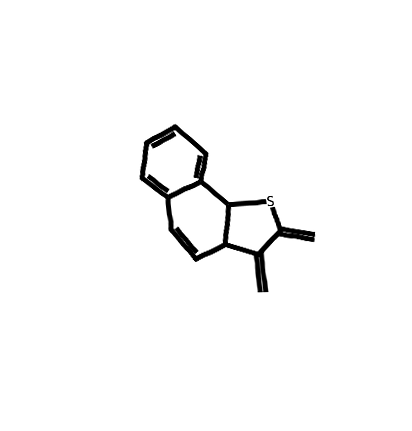 C=C1SC2c3ccccc3C=CC2C1=C